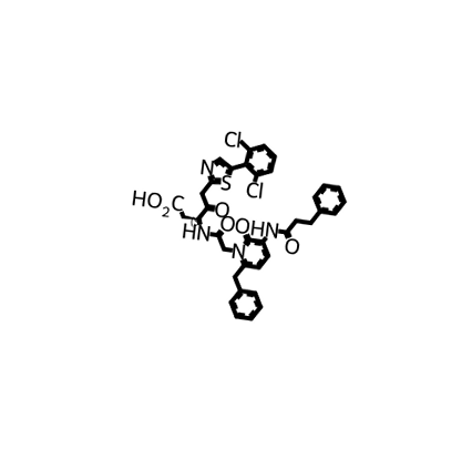 O=C(O)C[C@H](NC(=O)Cn1c(Cc2ccccc2)ccc(NC(=O)CCc2ccccc2)c1=O)C(=O)Cc1ncc(-c2c(Cl)cccc2Cl)s1